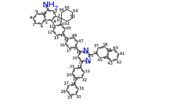 Nc1cc2c(c3ccccc13)-c1ccc(-c3ccc(-c4cc(-c5ccc(-c6ccccc6)cc5)nc(C5C=Cc6ccccc6C5)n4)cc3)cc1C21CCCCC1